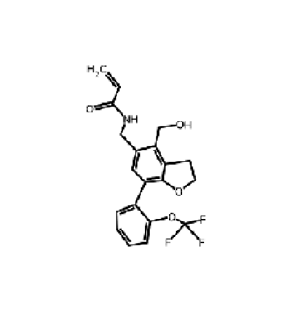 C=CC(=O)NCc1cc(-c2ccccc2OC(F)(F)F)c2c(c1CO)CCO2